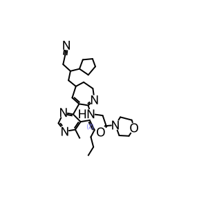 CCC/C=C\c1c(C)ncnc1C1=CC(CC(CC#N)C2CCCC2)CCN=C1NCC(=O)N1CCOCC1